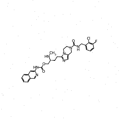 CN[C@@H](CCc1ncc2n1CCN(C(=O)NCc1cccc(F)c1Cl)C2)COC(=O)Nc1cc2ccccc2cn1